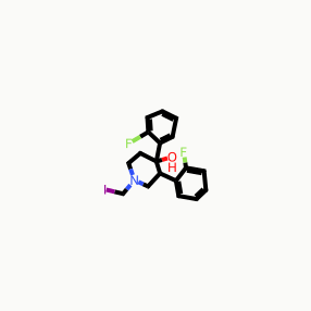 OC1(c2ccccc2F)CCN(CI)CC1c1ccccc1F